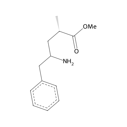 COC(=O)[C@@H](C)CC(N)Cc1ccccc1